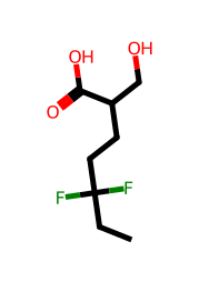 CCC(F)(F)CCC(CO)C(=O)O